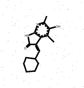 Cc1nc2c(c(C)c1O)/C(=C/C1CCCCC1)C(=O)N2